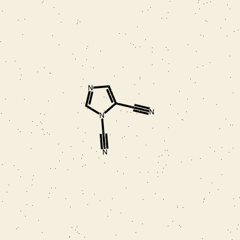 N#Cc1cncn1C#N